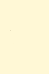 C=[C]c1ccc(Br)c(C(F)(F)F)c1